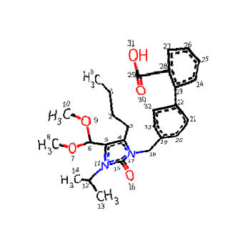 CCCCc1c(C(OC)OC)n(C(C)C)c(=O)n1Cc1ccc(-c2ccccc2C(=O)O)cc1